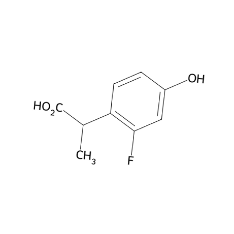 CC(C(=O)O)c1ccc(O)cc1F